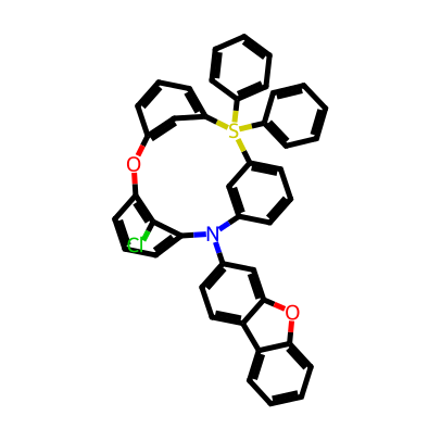 Clc1c2cccc1N(c1ccc3c(c1)oc1ccccc13)c1cccc(c1)S(c1ccccc1)(c1ccccc1)c1cccc(c1)O2